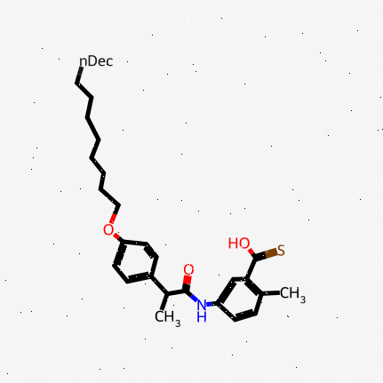 CCCCCCCCCCCCCCCCCCOc1ccc(C(C)C(=O)Nc2ccc(C)c(C(O)=S)c2)cc1